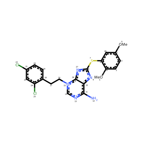 COc1ccc(OC)c(Sc2nc3c(N)ncn(CCc4ccc(Cl)cc4Cl)c-3n2)c1